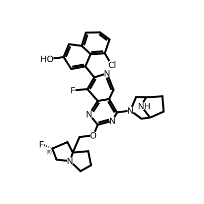 Oc1cc(-c2ncc3c(N4CC5CCC(C4)N5)nc(OCC45CCCN4C[C@H](F)C5)nc3c2F)c2c(Cl)cccc2c1